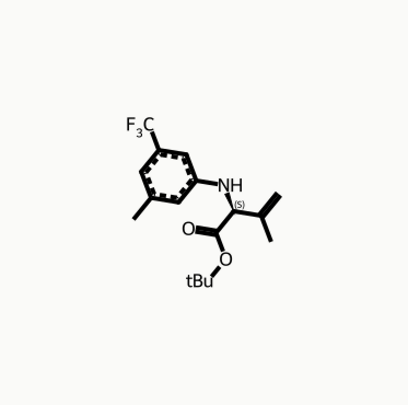 C=C(C)[C@H](Nc1cc(C)cc(C(F)(F)F)c1)C(=O)OC(C)(C)C